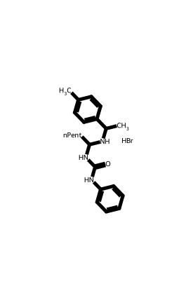 Br.CCCCCC(NC(=O)Nc1ccccc1)NC(C)c1ccc(C)cc1